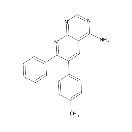 Cc1ccc(-c2cc3c(N)ncnc3nc2-c2ccccc2)cc1